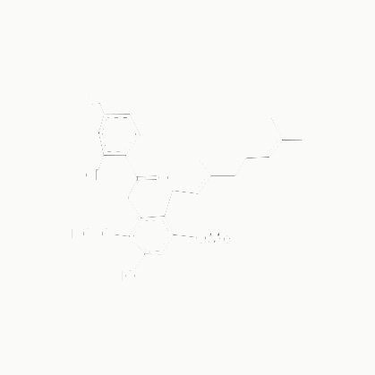 COc1cc(O)c(C(=O)O)c(CC(=O)c2ccc(Cl)cc2Cl)c1C/C=C(\C)CCC=C(C)C